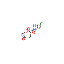 O=C(C[C@@H]1C/C=C/CCC(=O)N2CCC[C@H]2COC1=O)NCc1ccc(Cl)cc1